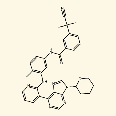 Cc1ccc(NC(=O)c2cccc(C(C)(C)C#N)c2)cc1Nc1ncccc1-c1ncnc2c1ncn2C1CCCCO1